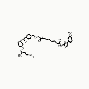 C=CCC(CC)OO[C@@H]1CCCC(OC(=O)Cc2ccc(CONC(=O)CCCCCCC(=O)Nc3nc(-c4cccc(N)c4)cs3)cc2)C1